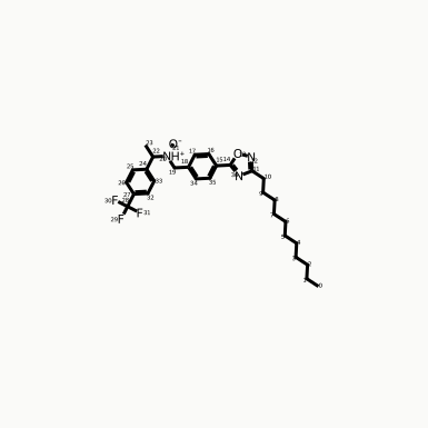 CCCCCCCCCCCc1noc(-c2ccc(C[NH+]([O-])C(C)c3ccc(C(F)(F)F)cc3)cc2)n1